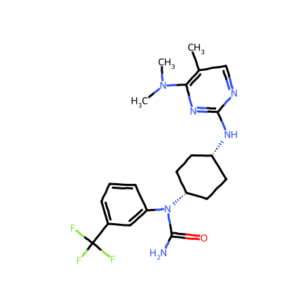 Cc1cnc(N[C@H]2CC[C@@H](N(C(N)=O)c3cccc(C(F)(F)F)c3)CC2)nc1N(C)C